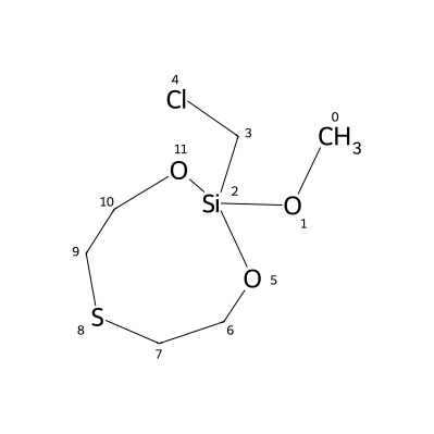 CO[Si]1(CCl)OCCSCCO1